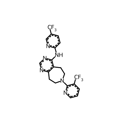 FC(F)(F)c1ccc(Nc2ncnc3c2CCN(c2ncccc2C(F)(F)F)CC3)nc1